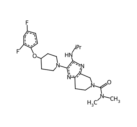 CC(C)Nc1nc2c(nc1N1CCC(Oc3ccc(F)cc3F)CC1)CCN(C(=O)N(C)C)C2